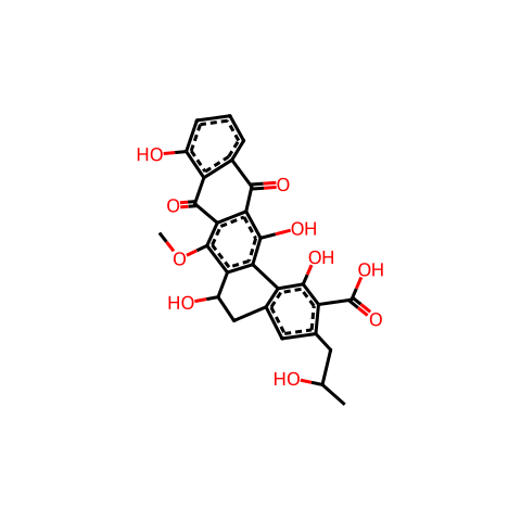 COc1c2c(c(O)c3c1C(O)Cc1cc(CC(C)O)c(C(=O)O)c(O)c1-3)C(=O)c1cccc(O)c1C2=O